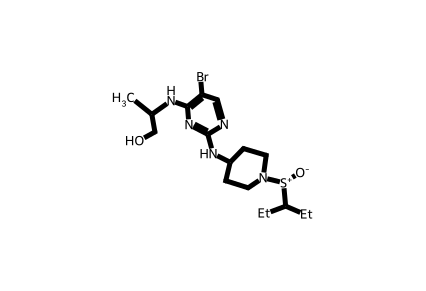 CCC(CC)[S+]([O-])N1CCC(Nc2ncc(Br)c(NC(C)CO)n2)CC1